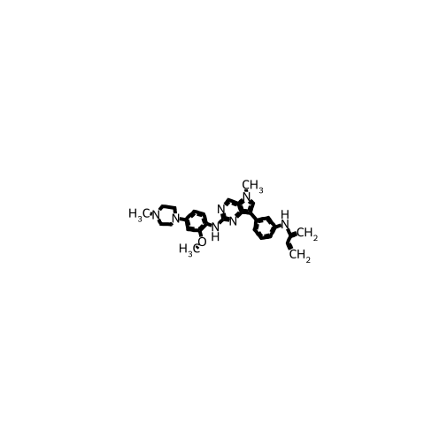 C=CC(=C)Nc1cccc(-c2cn(C)c3cnc(Nc4ccc(N5CCN(C)CC5)cc4OC)nc23)c1